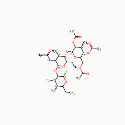 CCC1O[C@H](F)C(O[C@@H]2OC(CC)[C@@H](O[C@@H]3OC(COC(C)=O)[C@H](OC(C)=O)[C@H](C)C3OC(C)=O)[C@H](C)C2NC(C)=O)[C@@H](C)[C@@H]1C